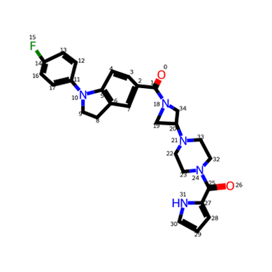 O=C(c1ccc2c(c1)CCN2c1ccc(F)cc1)N1CC(N2CCN(C(=O)c3ccc[nH]3)CC2)C1